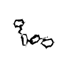 C(=CN1CCOC(c2ccc(NC3CCCCC3)cc2)C1)c1ccccc1